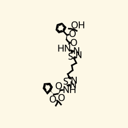 CC(C)(O)O[C@@H](CC(=O)Nc1nnc(CCCCc2nnc(NC(=O)[C@H]3OC(C)(C)O[C@@H]3c3ccccc3)s2)s1)c1ccccc1